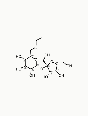 CCOC[C@H]1O[C@H](O[C@]2(CO)O[C@H](CO)[C@@H](O)[C@@H]2O)[C@H](O)[C@@H](O)[C@@H]1O